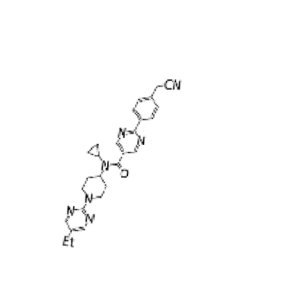 CCc1cnc(N2CCC(N(C(=O)c3cnc(-c4ccc(CC#N)cc4)nc3)C3CC3)CC2)nc1